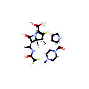 CC(NC(=O)C(F)F)[C@H]1C(=O)N2C(C(=O)O)=C(S[C@@H]3CN[C@H](C(=O)N4CCN(C)CC4)C3)[C@H](C)[C@H]12